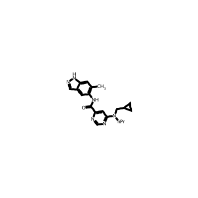 CCCN(CC1CC1)c1cc(C(=O)Nc2cc3cn[nH]c3cc2C)ncn1